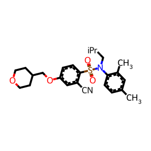 Cc1ccc(N(CC(C)C)S(=O)(=O)c2ccc(OCC3CCOCC3)cc2C#N)c(C)c1